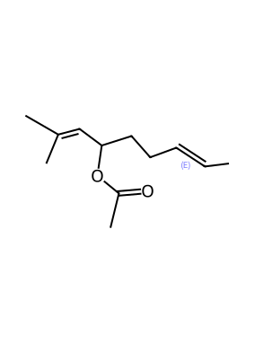 C/C=C/CCC(C=C(C)C)OC(C)=O